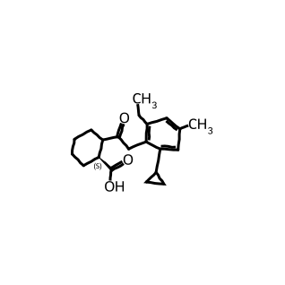 CCc1cc(C)cc(C2CC2)c1CC(=O)C1CCCC[C@@H]1C(=O)O